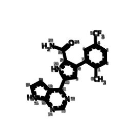 Cc1ccc(C(F)(F)F)cc1-c1cc(-c2ncnc3[nH]ccc23)[nH]c1C(N)=O